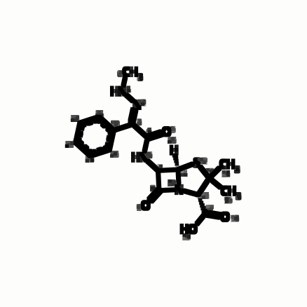 CN/N=C(/C(=O)NC1C(=O)N2[C@@H]1SC(C)(C)[C@@H]2C(=O)O)c1ccccc1